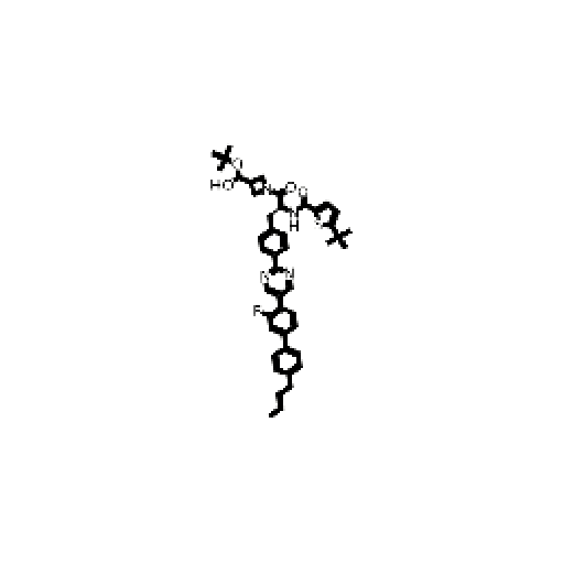 CCCCc1ccc(-c2ccc(-c3cnc(-c4ccc(C[C@H](NC(=O)c5ccc(C(C)(C)C)s5)C(=O)N5CC(C(O)OC(C)(C)C)C5)cc4)nc3)c(F)c2)cc1